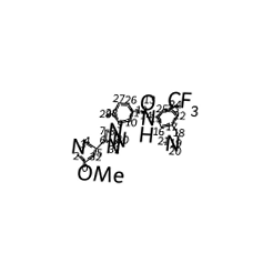 COc1cncc(-c2cn(-c3cc(C(=O)Nc4cc(CN(C)C)cc(C(F)(F)F)c4)ccc3C)nn2)c1